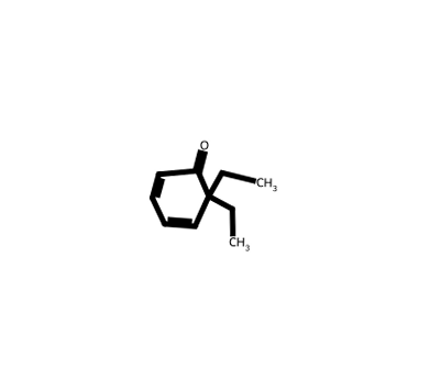 CCC1(CC)C=CC=CC1=O